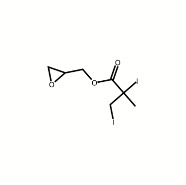 CC(I)(CI)C(=O)OCC1CO1